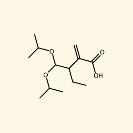 C=C(C(=O)O)C(CC)C(OC(C)C)OC(C)C